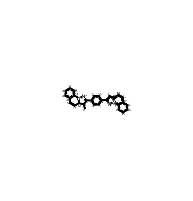 CC1C(c2ccc(-c3cc4ccc5ccccc5n4n3)cc2)=NN2c3ccccc3C=CC12